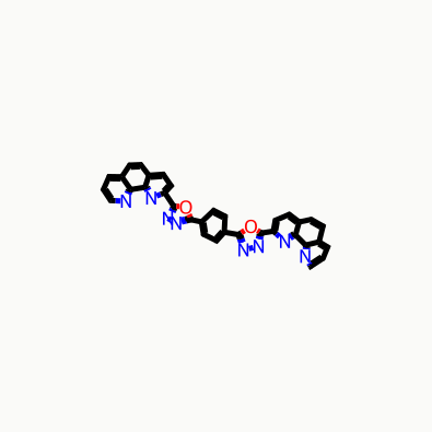 c1cnc2c(c1)ccc1ccc(-c3nnc(-c4ccc(-c5nnc(-c6ccc7ccc8cccnc8c7n6)o5)cc4)o3)nc12